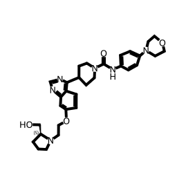 O=C(Nc1ccc(N2CCOCC2)cc1)N1CCC(c2ncnc3cc(OCCN4CCC[C@H]4CO)ccc23)CC1